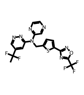 CC(F)(F)c1cnnc(N(Cc2ccc(-c3noc(C(F)(F)F)n3)s2)c2cnccn2)c1